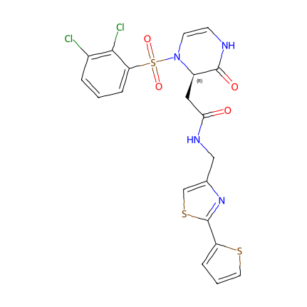 O=C(C[C@@H]1C(=O)NC=CN1S(=O)(=O)c1cccc(Cl)c1Cl)NCc1csc(-c2cccs2)n1